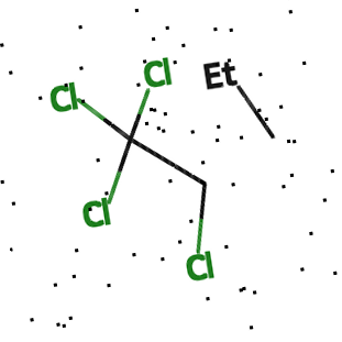 CCC.ClCC(Cl)(Cl)Cl